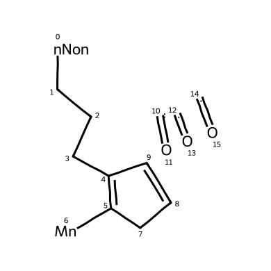 CCCCCCCCCCCCC1=[C]([Mn])CC=C1.[C]=O.[C]=O.[C]=O